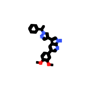 COc1ccc(-c2cnc3[nH]cc(-c4cnn(C(C)c5ccccc5)c4)c3c2)cc1OC